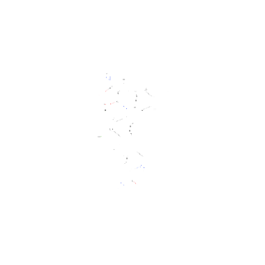 NC(=O)c1cc(Oc2ccc(N(C(=O)C3(C(N)=O)CC3)c3ccc(F)cc3)c(F)c2F)ccn1